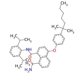 CCCCCC(C)(C)c1ccc(Oc2ccc(C(=O)Nc3c(C(C)C)cccc3C(C)C)c3c(C(N)=O)cccc23)cc1